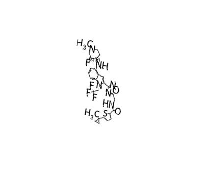 CN1CC[C@@H](Nc2cccc3c2cc(-c2noc(CNC(=O)c4ccc(C5(C)CC5)s4)n2)n3CC(F)(F)F)[C@@H](F)C1